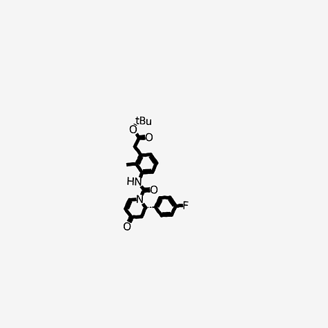 Cc1c(CC(=O)OC(C)(C)C)cccc1NC(=O)N1C=CC(=O)C[C@H]1c1ccc(F)cc1